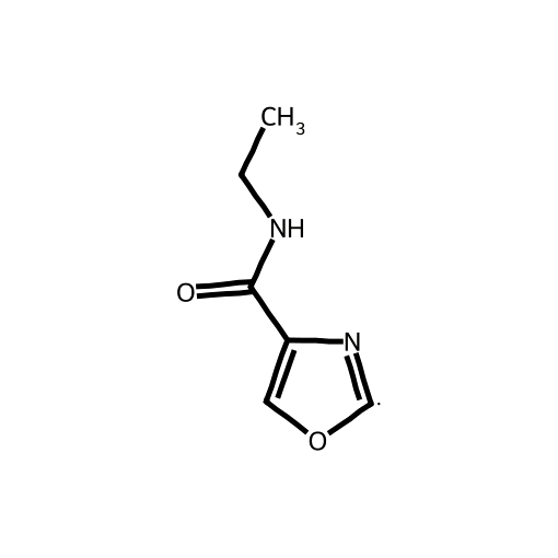 CCNC(=O)c1co[c]n1